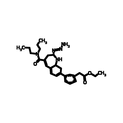 CCCN(CCC)C(=O)C1=CC2=CC=C(c3cccc(CC(=O)OCC)c3)CC2NC(N=NN)C1